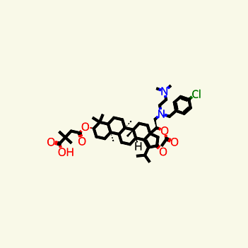 CC(=O)O[C@H](CN(CCN(C)C)Cc1ccc(Cl)cc1)C12CC[C@]3(C)[C@H](CCC4[C@@]5(C)CC[C@H](OC(=O)CC(C)(C)C(=O)O)C(C)(C)C5CC[C@]43C)C1=C(C(C)C)C(=O)C2